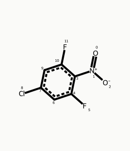 O=[N+]([O-])c1c(F)cc(Cl)cc1F